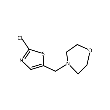 Clc1ncc(CN2CCOCC2)s1